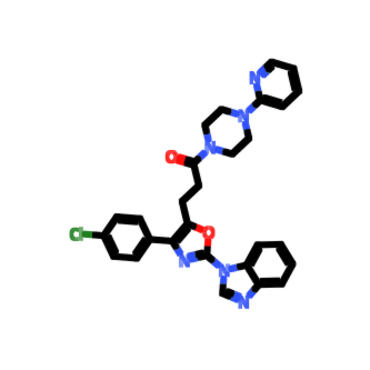 O=C(CCc1oc(-n2cnc3ccccc32)nc1-c1ccc(Cl)cc1)N1CCN(c2ccccn2)CC1